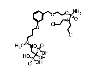 CN(CCCOc1cccc(COCCOP(N)(=O)N(CCCl)CCCl)c1)CCC(O)(P(=O)(O)O)P(=O)(O)O